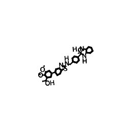 COc1cc(-c2ccc3sc(NCc4ccc(C(=O)Nc5ccccc5N)cc4)nc3c2)cc(C(C)O)c1OC